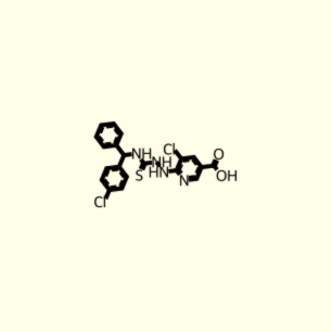 O=C(O)c1cnc(NNC(=S)NC(c2ccccc2)c2ccc(Cl)cc2)c(Cl)c1